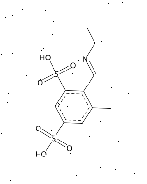 CC/N=C/c1c(C)cc(S(=O)(=O)O)cc1S(=O)(=O)O